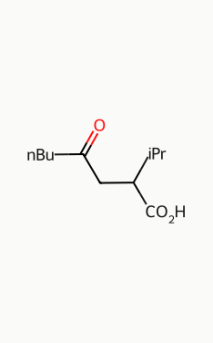 CCCCC(=O)CC(C(=O)O)C(C)C